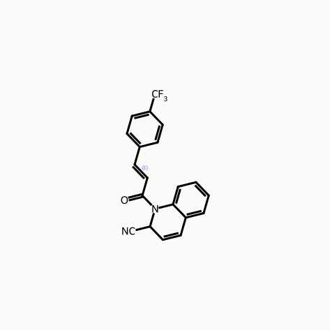 N#CC1C=Cc2ccccc2N1C(=O)/C=C/c1ccc(C(F)(F)F)cc1